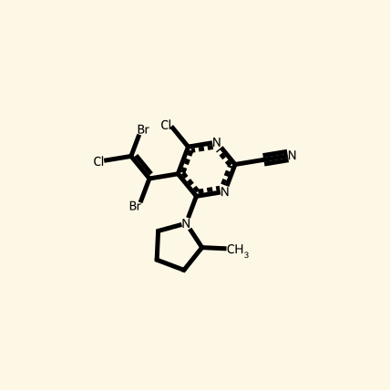 CC1CCCN1c1nc(C#N)nc(Cl)c1C(Br)=C(Cl)Br